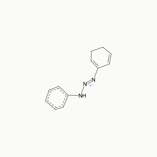 C1=CC(/N=N/Nc2ccccc2)=CCC1